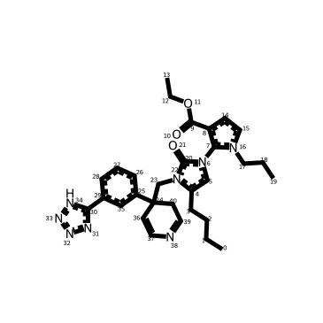 CCCCc1cn(-c2c(C(=O)OCC)ccn2CCC)c(=O)n1CC1(c2cccc(-c3nnn[nH]3)c2)C=CN=CC1